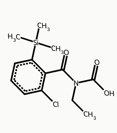 CCN(C(=O)O)C(=O)c1c(Cl)cccc1[Si](C)(C)C